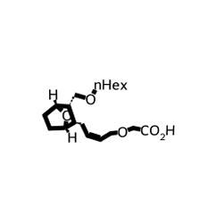 CCCCCCOC[C@@H]1[C@H](C/C=C\COCC(=O)O)[C@@H]2CC[C@H]1O2